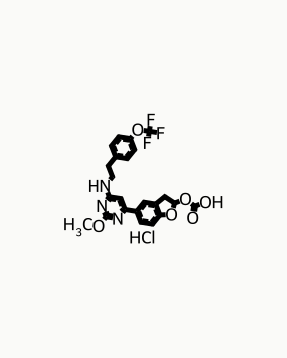 COc1nc(NCCc2ccc(OC(F)(F)F)cc2)cc(-c2ccc3c(c2)CC(OC(=O)O)O3)n1.Cl